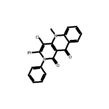 CC(C)c1c(Cl)c2c(c(=O)c3ccccc3n2C)c(=O)n1-c1ccccc1